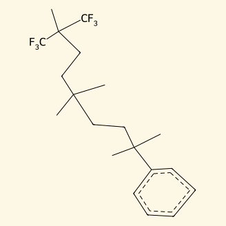 CC(C)(CCC(C)(C)c1ccccc1)CCC(C)(C(F)(F)F)C(F)(F)F